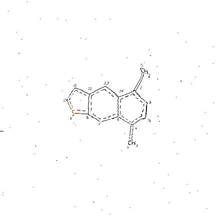 C=c1ccc(=C)c2cc3sccc3cc12